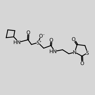 O=C(C[S+]([O-])CC(=O)NC1CCC1)NCCN1C(=O)CSC1=O